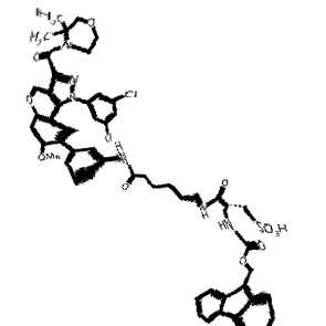 COc1cc2c(cc1-c1cccc(NC(=O)CCCCCNC(=O)[C@H](CS(=O)(=O)O)NC(=O)OCC3c4ccccc4-c4ccccc43)c1)-c1c(c(C(=O)N3CCOCC3(C)C)nn1-c1cc(Cl)cc(Cl)c1)CO2